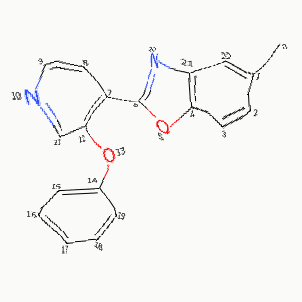 Cc1ccc2oc(-c3ccncc3Oc3ccccc3)nc2c1